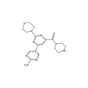 Nc1ncc(-c2cc(C(=O)N3CCNCC3)nc(N3CCOCC3)n2)cn1